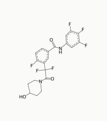 O=C(Nc1cc(F)c(F)c(F)c1)c1ccc(F)c(C(F)(F)C(=O)N2CCC(O)CC2)c1